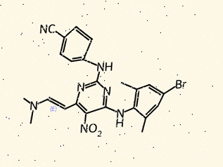 Cc1cc(Br)cc(C)c1Nc1nc(Nc2ccc(C#N)cc2)nc(/C=C/N(C)C)c1[N+](=O)[O-]